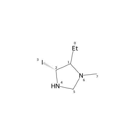 CCC1[C@@H](I)NCN1C